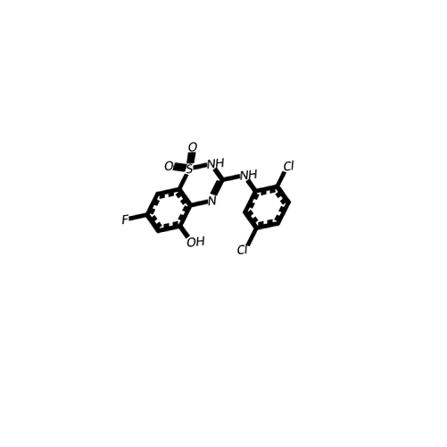 O=S1(=O)NC(Nc2cc(Cl)ccc2Cl)=Nc2c(O)cc(F)cc21